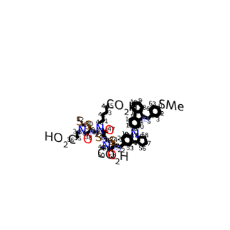 CSc1ccc(/C=C2\c3ccccc3-c3ccc(N4c5ccc(/C=c6\s/c(=c7/s/c(=C8/SC(=S)N(CCC(=O)O)C8=O)n(CCCCCC(=O)O)c7=O)n(CC(=O)O)c6=O)cc5C5CCCC54)cc32)cc1